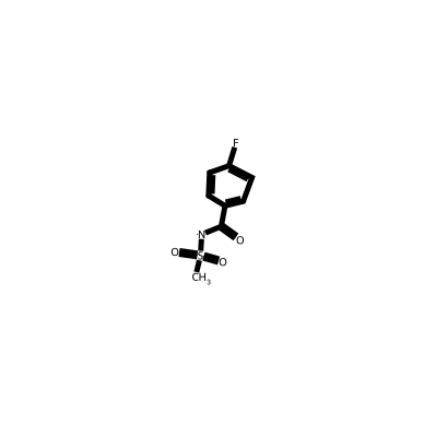 CS(=O)(=O)[N]C(=O)c1ccc(F)cc1